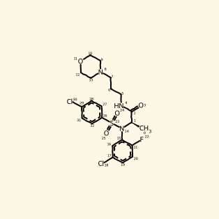 C[C@H](C(=O)NCCCN1CCOCC1)N(c1cc(Cl)ccc1F)S(=O)(=O)c1ccc(Cl)cc1